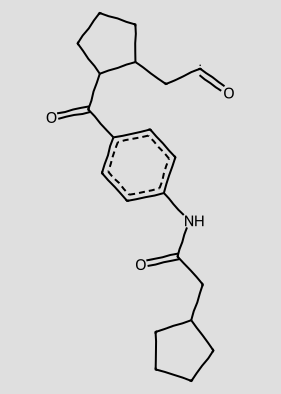 O=[C]CC1CCCC1C(=O)c1ccc(NC(=O)CC2CCCC2)cc1